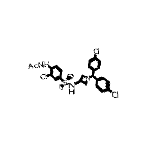 CC(=O)Nc1ccc(S(=O)(=O)NC2CN(C(c3ccc(Cl)cc3)c3ccc(Cl)cc3)C2)cc1Cl